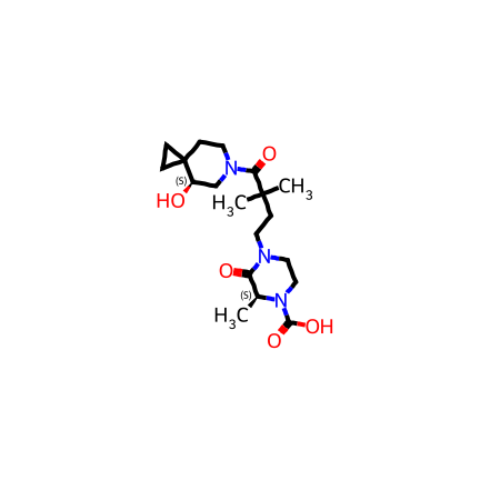 C[C@H]1C(=O)N(CCC(C)(C)C(=O)N2CCC3(CC3)[C@H](O)C2)CCN1C(=O)O